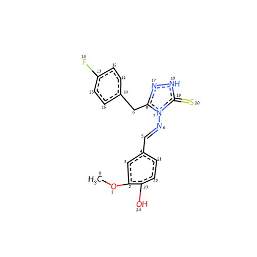 COc1cc(C=Nn2c(Cc3ccc(F)cc3)n[nH]c2=S)ccc1O